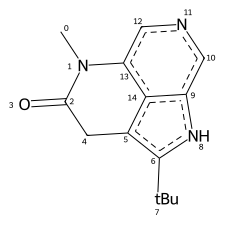 CN1C(=O)Cc2c(C(C)(C)C)[nH]c3cncc1c23